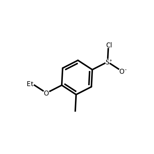 CCOc1ccc([S+]([O-])Cl)cc1C